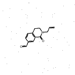 C=CCN1CCc2ccc(C=O)cc2C1=O